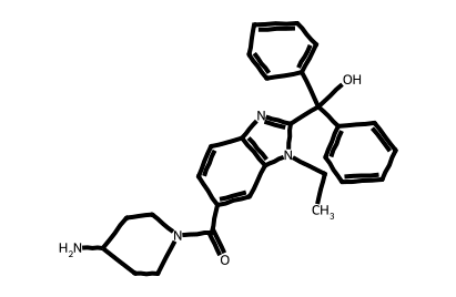 CCn1c(C(O)(c2ccccc2)c2ccccc2)nc2ccc(C(=O)N3CCC(N)CC3)cc21